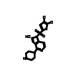 Cl.O=S(=O)(c1cc(Cl)c(Cl)s1)n1ccc2c(N3CCNCC3)nccc21